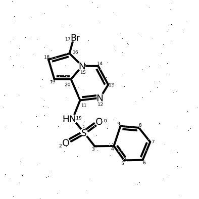 O=S(=O)(Cc1ccccc1)Nc1nccn2c(Br)ccc12